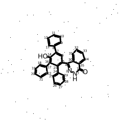 O=c1[nH]nc(-c2cc(-c3ccccc3)c(O)c(-c3ccccc3)c2-c2ccccc2)c2ccccc12